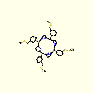 N#CSCc1cccc(-c2c3nc(c(-c4cccc(CSC#N)c4)c4ccc([nH]4)c(-c4cccc(CSC#N)c4)c4nc(c(-c5cccc(CSC#N)c5)c5ccc2[nH]5)C=C4)C=C3)c1